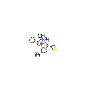 CC(C)c1ccc(/C(=C\CNC(C)C(O)c2ccccc2)c2ccsc2)cc1